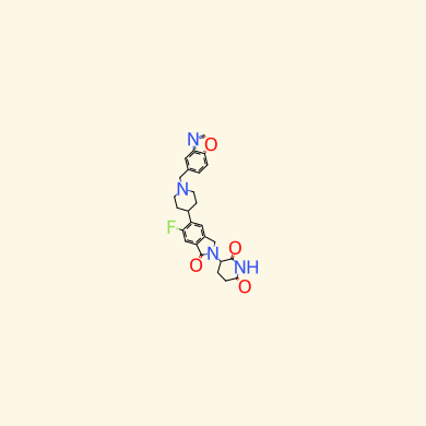 O=C1CCC(N2Cc3cc(C4CCN(Cc5ccc6ocnc6c5)CC4)c(F)cc3C2=O)C(=O)N1